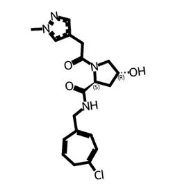 Cn1cc(CC(=O)N2C[C@H](O)C[C@H]2C(=O)NCC2=CC=C(Cl)CC=C2)cn1